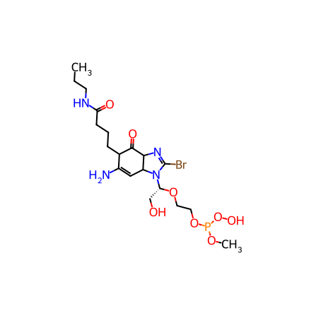 CCCNC(=O)CCCC1C(=O)C2N=C(Br)N([C@@H](CO)OCCOP(OC)OO)C2C=C1N